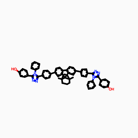 CC12CCCC(C)(CCC1)C21c2cc(-c3ccc(-c4nnc(-c5ccc(O)cc5)n4-c4ccccc4)cc3)ccc2-c2ccc(-c3ccc(-c4nnc(-c5ccc(O)cc5)n4-c4ccccc4)cc3)cc21